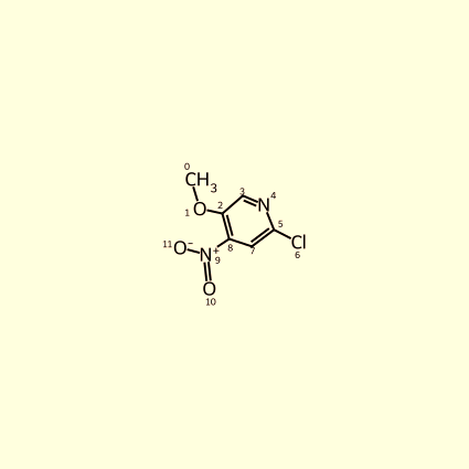 COc1cnc(Cl)cc1[N+](=O)[O-]